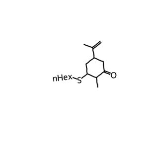 C=C(C)C1CC(=O)C(C)C(SCCCCCC)C1